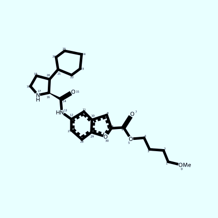 COCCCCOC(=O)c1cc2cc(NC(=O)[C@H]3NCCC3C3CCCCC3)ccc2o1